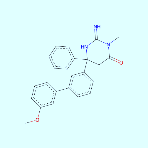 COc1cccc(-c2cccc(C3(c4ccccc4)CC(=O)N(C)C(=N)N3)c2)c1